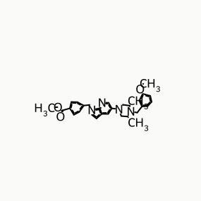 COC(=O)c1ccc(Cn2ccc3cc(N4C[C@@H](C)N(Cc5cccc(OC)c5)[C@@H](C)C4)cnc32)cc1